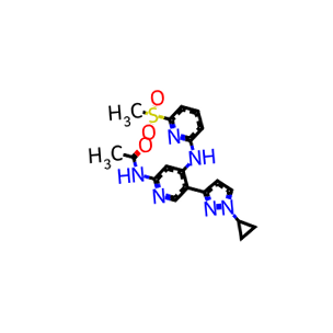 CC(=O)Nc1cc(Nc2cccc(S(C)(=O)=O)n2)c(-c2ccn(C3CC3)n2)cn1